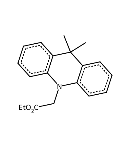 CCOC(=O)CN1c2ccccc2C(C)(C)c2ccccc21